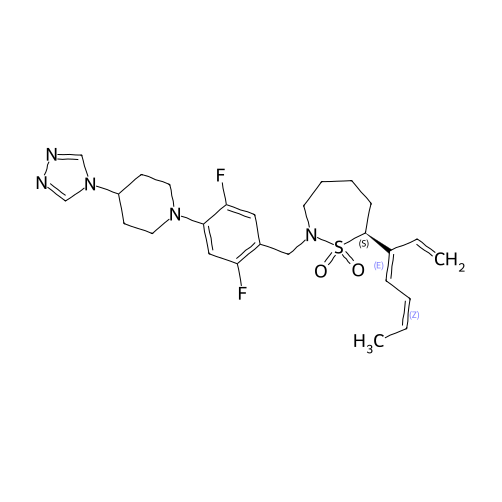 C=C/C(=C\C=C/C)[C@@H]1CCCCN(Cc2cc(F)c(N3CCC(n4cnnc4)CC3)cc2F)S1(=O)=O